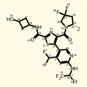 CC[C@H](Nc1cc(C(F)F)c(-c2sc(C(=O)NC3CC(O)C3)nc2C(=O)N2CC(F)(F)C[C@@H]2C)cn1)C(F)(F)F